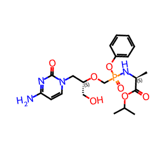 CC(C)OC(=O)[C@H](C)NP(=O)(CO[C@H](CO)Cn1ccc(N)nc1=O)Oc1ccccc1